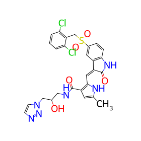 Cc1cc(C(=O)NCC(O)Cn2ccnn2)c(/C=C2\C(=O)Nc3ccc(S(=O)(=O)Cc4c(Cl)cccc4Cl)cc32)[nH]1